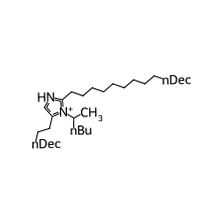 CCCCCCCCCCCCCCCCCCCc1[nH]cc(CCCCCCCCCCCC)[n+]1C(C)CCCC